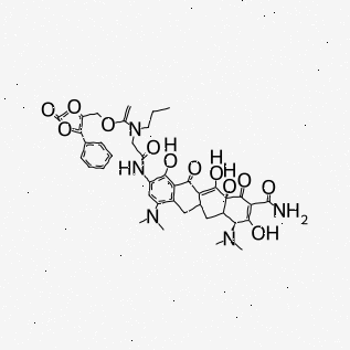 C=C(OCc1oc(=O)oc1-c1ccccc1)N(CCC)CC(=O)Nc1cc(N(C)C)c2c(c1O)C(=O)C1=C(O)[C@]3(O)C(=O)C(C(N)=O)=C(O)[C@@H](N(C)C)C3CC1C2